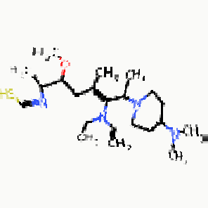 C=CN(CC)/C(=C(/C)CC(OC)[C@H](C)/N=C\S)C(C)N1CCC(N(C)C)CC1